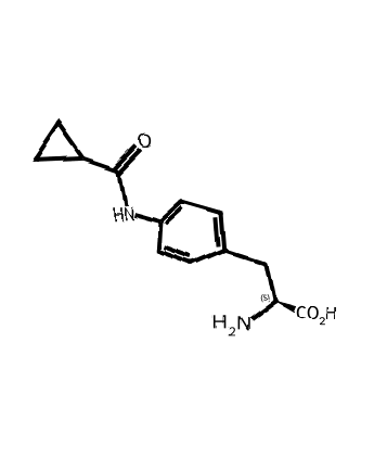 N[C@@H](Cc1ccc(NC(=O)C2CC2)cc1)C(=O)O